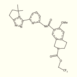 COc1cc2c(cc1C(=O)Nc1cccc(-c3nnc4n3C(C)(C)CC4)n1)CN(C(=O)OCC(F)(F)F)CC2